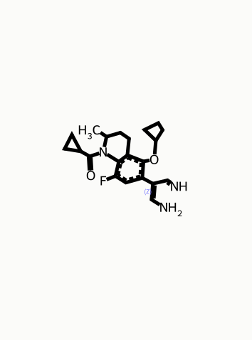 CC1CCc2c(OC3CCC3)c(/C(C=N)=C/N)cc(F)c2N1C(=O)C1CC1